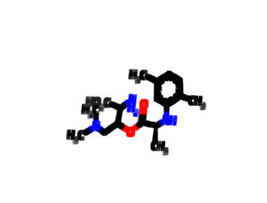 Cc1ccc(C)c(N[C@@H](C)C(=O)OC(CN(C)C)C(N)C(=O)O)c1